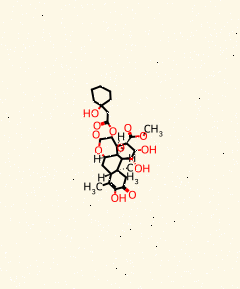 COC(=O)[C@]12OC[C@]34[C@H]([C@@H](O)[C@@H]1O)[C@@]1(C)CC(=O)C(O)=C(C)[C@@H]1C[C@H]3OC(=O)C(OC(=O)CC1(O)CCCCC1)[C@@H]24